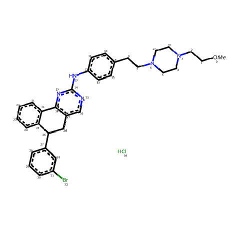 COCCN1CCN(CCc2ccc(Nc3ncc4c(n3)-c3ccccc3C(c3cccc(Br)c3)C4)cc2)CC1.Cl